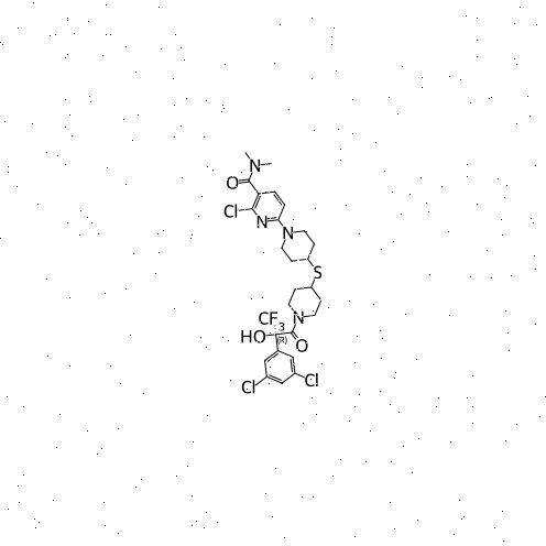 CN(C)C(=O)c1ccc(N2CCC(SC3CCN(C(=O)[C@](O)(c4cc(Cl)cc(Cl)c4)C(F)(F)F)CC3)CC2)nc1Cl